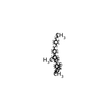 CCCC1CCC(CCC2CCC(c3cc(C)c(CCc4ccc(OCC)c(F)c4F)c(F)c3)CC2)CC1